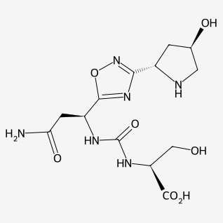 NC(=O)C[C@H](NC(=O)N[C@@H](CO)C(=O)O)c1nc([C@@H]2C[C@@H](O)CN2)no1